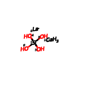 O[Si](O)(O)O.[GaH3].[La]